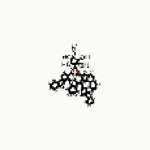 Oc1c(O)c(O)c(-c2nc(-c3ccc4c(ccc5ccccc54)c3)nc(-c3ccc4c(sc5ccccc54)c3-n3c4c(c5ccccc53)C(c3ccc5c(c3)oc3ccccc35)=CCC=C4)n2)c(O)c1O